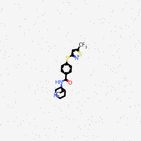 O=C(NC1CN2CCC1CC2)c1ccc(Sc2cc(C(F)(F)F)sn2)cc1